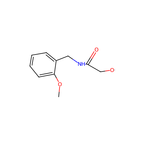 COc1ccccc1CNC(=O)C[O]